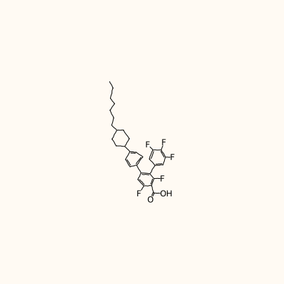 CCCCCCCC1CCC(c2ccc(-c3cc(F)c(C(=O)O)c(F)c3-c3cc(F)c(F)c(F)c3)cc2)CC1